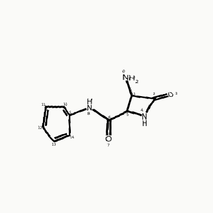 NC1C(=O)NC1C(=O)Nc1ccccc1